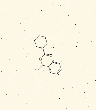 CC(OC(=O)C1CCCCC1)c1ccccn1